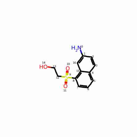 Nc1ccc2cccc(S(=O)(=O)CCO)c2c1